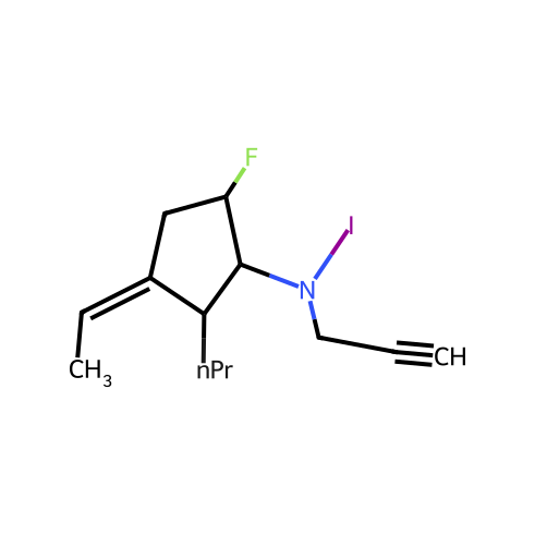 C#CCN(I)C1C(F)C/C(=C/C)C1CCC